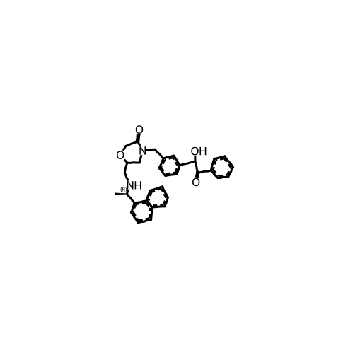 C[C@@H](NCC1CN(Cc2cccc(C(O)C(=O)c3ccccc3)c2)C(=O)CO1)c1cccc2ccccc12